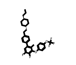 CCC[C@H]1CC[C@H](CCc2ccc(-c3cc(F)c(F)c(Oc4ccc(OC(F)(F)F)cc4)c3C)cc2)CC1